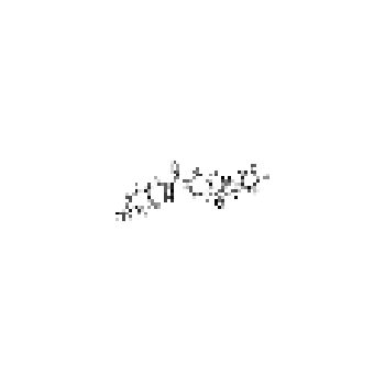 O=C(NCc1ccc(Cl)nc1)c1ccc(S(=O)(=O)Nc2nccs2)cc1